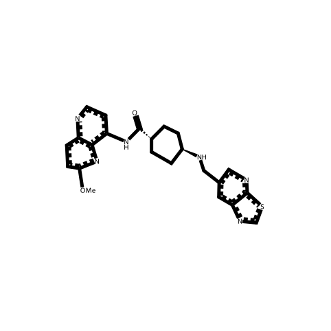 COc1ccc2nccc(NC(=O)[C@H]3CC[C@H](NCc4cnc5scnc5c4)CC3)c2n1